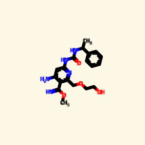 COC(=N)c1c(N)cc(NC(=O)NC(C)c2ccccc2)nc1COCCO